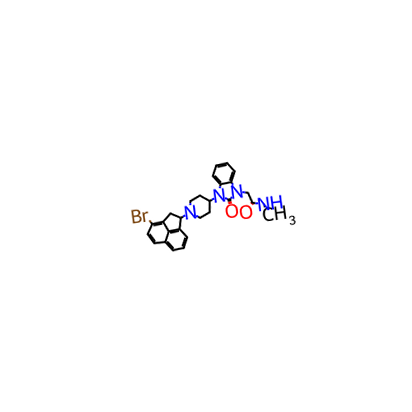 CNC(=O)Cn1c(=O)n(C2CCN(C3Cc4c(Br)ccc5cccc3c45)CC2)c2ccccc21